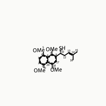 COc1ccc(OC)c2c(OC)c([C@@H](S)CC=C(C)C)cc(OC)c12